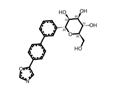 OC[C@H]1O[C@H](c2cccc(-c3ccc(-c4cnco4)cc3)c2)[C@@H](O)[C@@H](O)[C@@H]1O